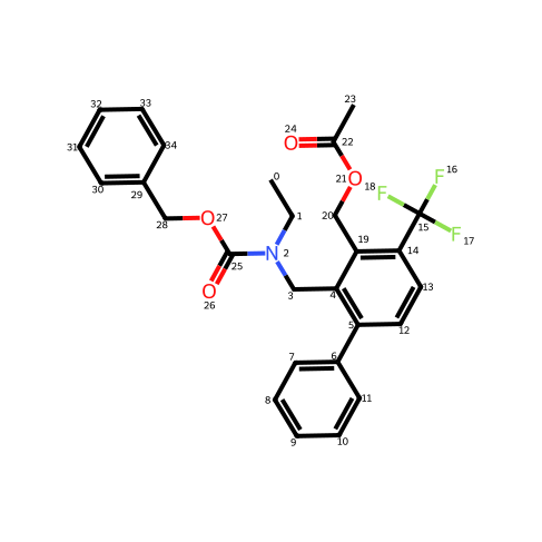 CCN(Cc1c(-c2ccccc2)ccc(C(F)(F)F)c1COC(C)=O)C(=O)OCc1ccccc1